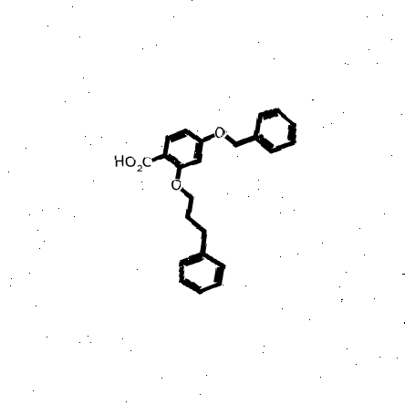 O=C(O)c1ccc(OCc2ccccc2)cc1OCCCc1ccccc1